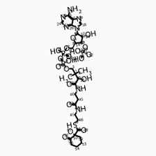 CC(C)(COP(=O)(O)OP(=O)(O)OC[C@H]1O[C@@H](n2cnc3c(N)ncnc32)[C@H](O)[C@@H]1OP(=O)(O)O)[C@@H](O)C(=O)NCCC(=O)NCCSC(=O)C1(O)CCCCC1=O